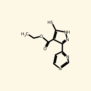 CCOC(=O)c1c(-c2ccncn2)n[nH]c1S